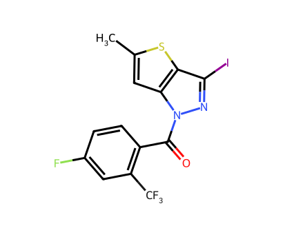 Cc1cc2c(s1)c(I)nn2C(=O)c1ccc(F)cc1C(F)(F)F